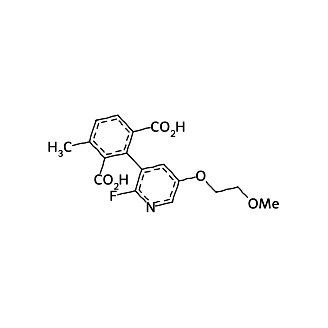 COCCOc1cnc(F)c(-c2c(C(=O)O)ccc(C)c2C(=O)O)c1